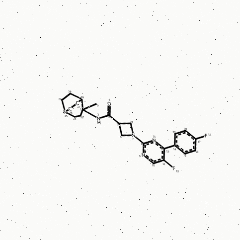 CC1(NC(=O)C2CN(c3ncc(F)c(-c4ccc(F)cc4)n3)C2)CCN2CCC1CC2